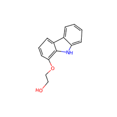 OCCOc1cccc2c1[nH]c1ccccc12